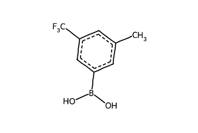 Cc1cc(B(O)O)cc(C(F)(F)F)c1